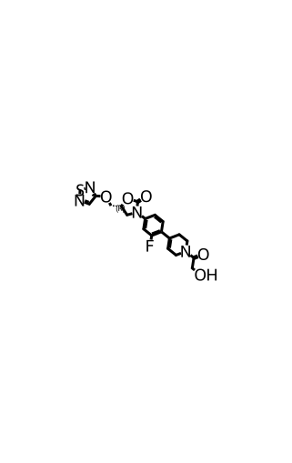 O=C(CO)N1CC=C(c2ccc(N3C[C@H](COc4cnsn4)OC3=O)cc2F)CC1